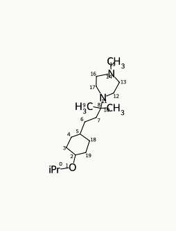 CC(C)OC1CCC(CCC(C)(C)N2CCN(C)CC2)CC1